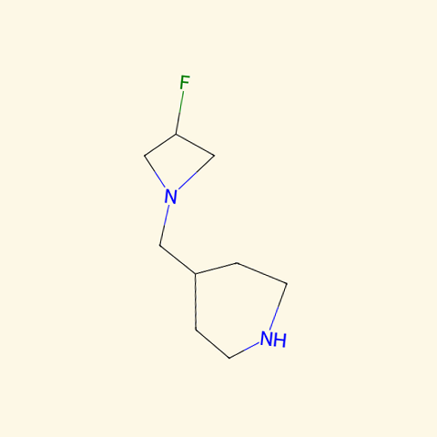 FC1CN(CC2CCNCC2)C1